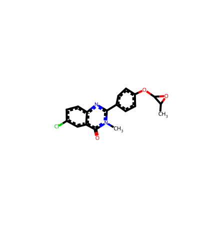 CC1OC1Oc1ccc(-c2nc3ccc(Cl)cc3c(=O)n2C)cc1